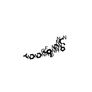 CC[C@@H]1c2c(C#N)ncn2-c2cnc(Nc3cc(F)c(C(=O)NC4CCN(C5CCN(CC(C)C)CC5)CC4)cc3OC)nc2N1C1CCCC1